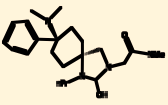 CCCN1C(O)N(CC(=O)NC)C[C@]12CC[C@](c1ccccc1)(N(C)C)CC2